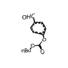 CCCCOC(=O)Oc1ccc(C=O)cc1